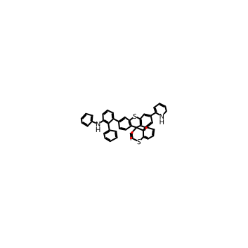 C1=CCNC(c2ccc3c(c2)Sc2cc(-c4cccc(Nc5ccccc5)c4-c4ccccc4)ccc2C32c3ccccc3Sc3ccccc32)=C1